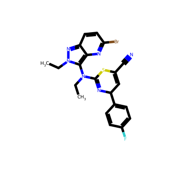 CCN(C1=NC(c2ccc(F)cc2)C=C(C#N)S1)c1c2nc(Br)ccc2nn1CC